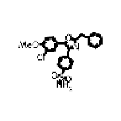 COc1ccc(-c2oc(Cc3ccccc3)nc2-c2ccc(S(N)(=O)=O)cc2)cc1Cl